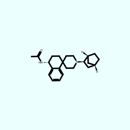 CC(=O)N[C@@H]1CCC2(CCN([C@@H]3C[C@H]4CC[C@@H]3C4)CC2)c2ccccc21